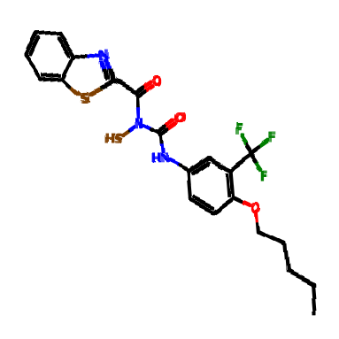 CCCCCOc1ccc(NC(=O)N(S)C(=O)c2nc3ccccc3s2)cc1C(F)(F)F